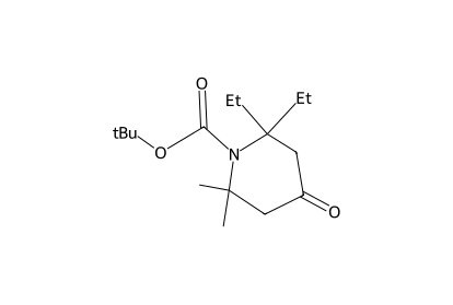 CCC1(CC)CC(=O)CC(C)(C)N1C(=O)OC(C)(C)C